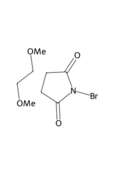 COCCOC.O=C1CCC(=O)N1Br